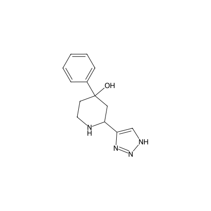 OC1(c2ccccc2)CCNC(c2c[nH]nn2)C1